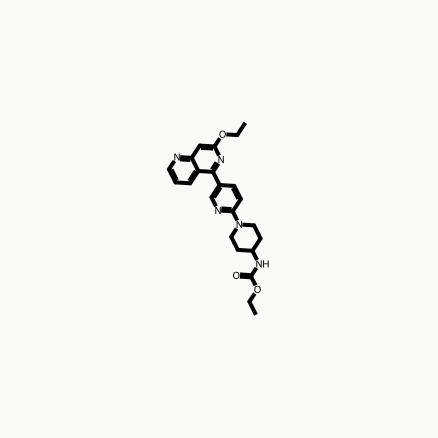 CCOC(=O)NC1CCN(c2ccc(-c3nc(OCC)cc4ncccc34)cn2)CC1